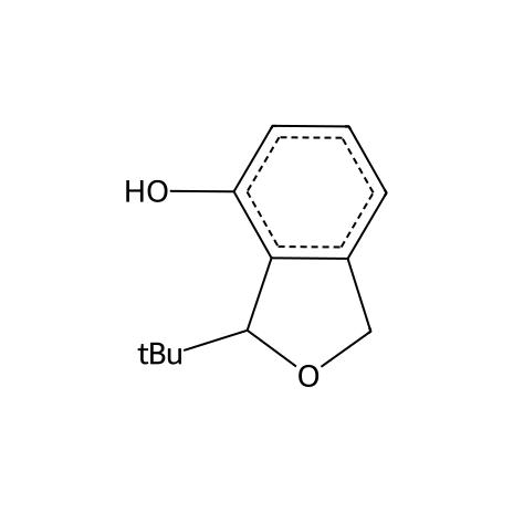 CC(C)(C)C1OCc2cccc(O)c21